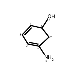 NC1=CC=CC(O)C1